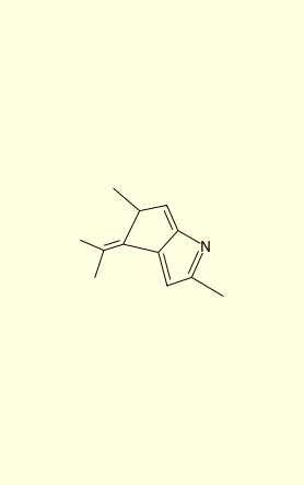 CC1=NC2=CC(C)C(=C(C)C)C2=C1